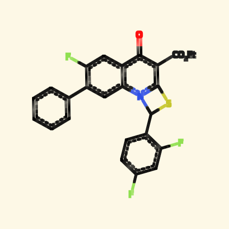 CCOC(=O)c1c2n(c3cc(-c4ccccc4)c(F)cc3c1=O)C(c1ccc(F)cc1F)S2